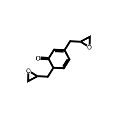 O=C1C=C(CC2CO2)C=CC1CC1CO1